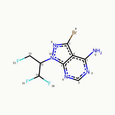 Nc1ncnc2c1c(Br)nn2C(CF)C(F)F